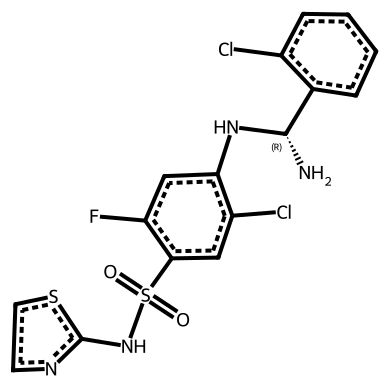 N[C@H](Nc1cc(F)c(S(=O)(=O)Nc2nccs2)cc1Cl)c1ccccc1Cl